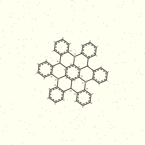 c1ccc2c(c1)C1c3ccccc3N3c4ccccc4C4c5ccccc5N5c6ccccc6C6c7ccccc7N2c2c1c3c4c5c26